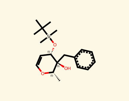 C[C@@H]1OC=C[C@H](O[Si](C)(C)C(C)(C)C)[C@]1(O)Cc1ccccc1